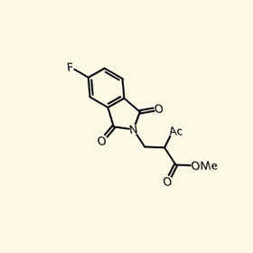 COC(=O)C(CN1C(=O)c2ccc(F)cc2C1=O)C(C)=O